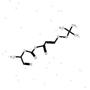 CC(C=O)OC(=O)OC(=O)C=COOC(C)(C)C